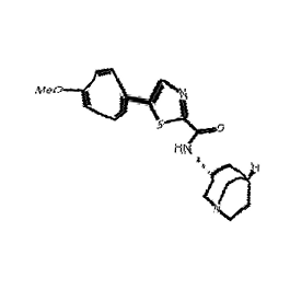 COc1ccc(-c2cnc(C(=O)N[C@@H]3C[C@@H]4CCN(C4)C3)s2)cc1